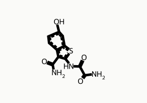 NC(=O)C(=O)Nc1sc2cc(O)ccc2c1C(N)=O